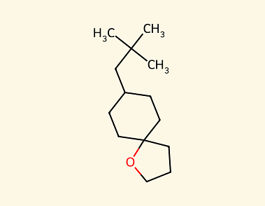 CC(C)(C)CC1CCC2(CCCO2)CC1